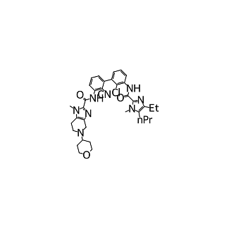 CCCc1c(CC)nc(C(=O)Nc2cccc(-c3cccc(NC(=O)c4nc5c(n4C)CCN(C4CCOCC4)C5)c3C#N)c2Cl)n1C